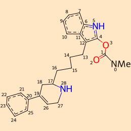 CNC(=O)Oc1[nH]c2ccccc2c1CCCCC1CC(c2ccccc2)=CCN1